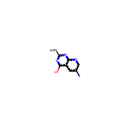 CC(=O)Nc1nc(O)c2cc(I)cnc2n1